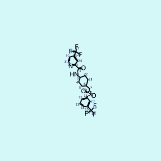 O=C(NC1CCC(CS(=O)(=O)c2cccc(C(F)(F)F)c2)CC1)c1cc(C(F)(F)F)ccn1